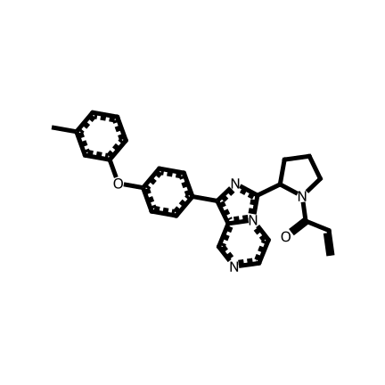 C=CC(=O)N1CCCC1c1nc(-c2ccc(Oc3cccc(C)c3)cc2)c2cnccn12